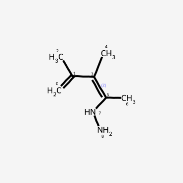 C=C(C)/C(C)=C(/C)NN